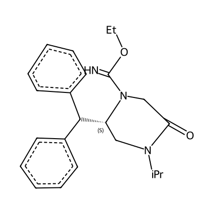 CCOC(=N)N1CC(=O)N(C(C)C)C[C@@H]1C(c1ccccc1)c1ccccc1